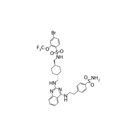 NS(=O)(=O)c1ccc(CCNc2nc(NC[C@H]3CC[C@H](CNS(=O)(=O)c4ccc(Br)cc4OC(F)(F)F)CC3)nc3ccccc23)cc1